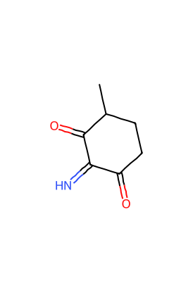 CC1CCC(=O)C(=N)C1=O